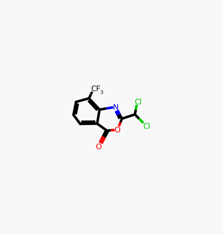 O=c1oc(C(Cl)Cl)nc2c(C(F)(F)F)cccc12